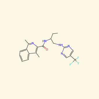 CCC(CNc1ncc(C(F)(F)F)cn1)NC(=O)c1nc(C)c2ccccc2c1C